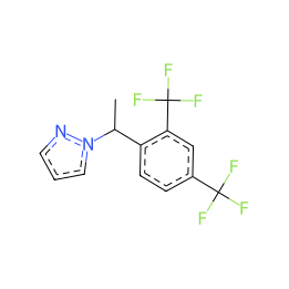 CC(c1ccc(C(F)(F)F)cc1C(F)(F)F)n1cccn1